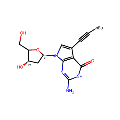 CCCCC#Cc1cn([C@H]2C[C@@H](O)C(CO)O2)c2nc(N)[nH]c(=O)c12